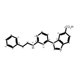 O=C(O)c1ccc2ncn(-c3ccnc(NCCc4ccccc4)n3)c2c1